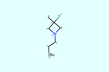 CC(C)(C)CCN1CC(C)(F)C1